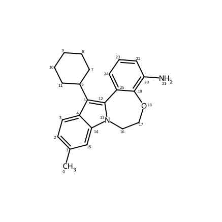 Cc1ccc2c(C3CCCCC3)c3n(c2c1)CCOc1c(N)cccc1-3